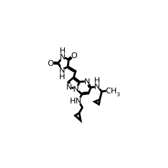 CC(Nc1cc(NCC2CC2)n2ncc(/C=C3\NC(=O)NC3=O)c2n1)C1CC1